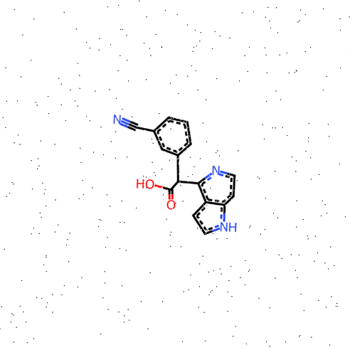 N#Cc1cccc(C(C(=O)O)c2nccc3[nH]ccc23)c1